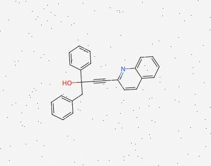 OC(C#Cc1ccc2ccccc2n1)(Cc1ccccc1)c1ccccc1